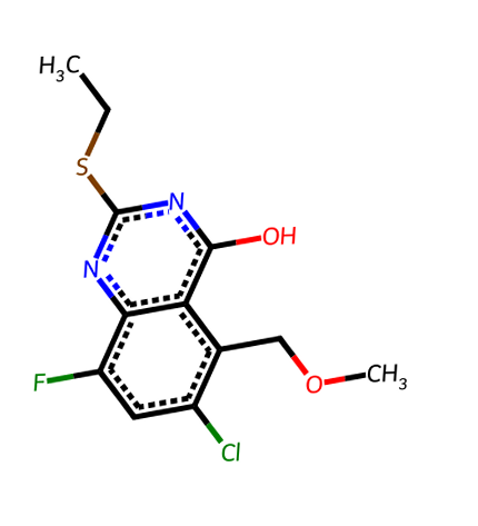 CCSc1nc(O)c2c(COC)c(Cl)cc(F)c2n1